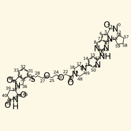 CN(C)C(=O)c1cc2cnc(Nc3ccc(N4CCN(C(=O)COCCOCCSc5cccc6c5CN(C5CCC(=O)NC5=O)C6=O)CC4)cn3)nc2n1C1CCCC1